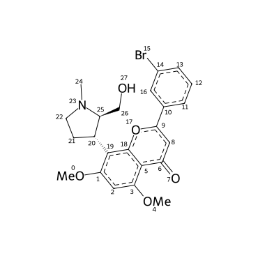 COc1cc(OC)c2c(=O)cc(-c3cccc(Br)c3)oc2c1[C@@H]1CCN(C)[C@H]1CO